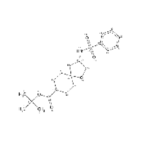 CC(C)(C)OC(=O)N1CCC2(CC1)C[C@H](NS(=O)(=O)c1ccccc1)CO2